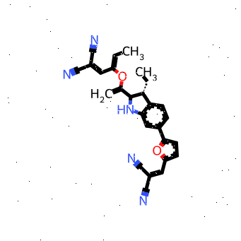 C=C(O/C(C=C(C#N)C#N)=C\C)C1Nc2cc(-c3ccc(C=C(C#N)C#N)o3)ccc2[C@H]1CC